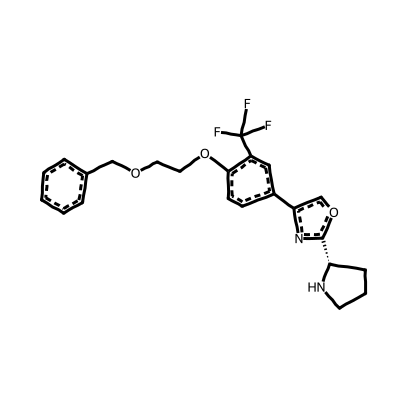 FC(F)(F)c1cc(-c2coc([C@@H]3CCCN3)n2)ccc1OCCOCc1ccccc1